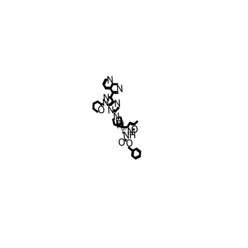 Cc1cc([C@@]2(CNC(=O)OCc3ccccc3)[C@@H]3CCN(c4cnc5c(-c6cncc7ncccc67)nn(C6CCCCO6)c5n4)C[C@@H]32)no1